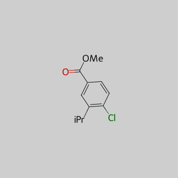 COC(=O)c1ccc(Cl)c(C(C)C)c1